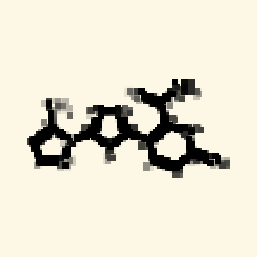 Cc1ccnn1-c1nnc(-c2ccc(=O)oc2C(N)=O)s1